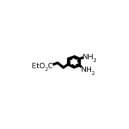 CCOC(=O)CCc1ccc(N)c(N)c1